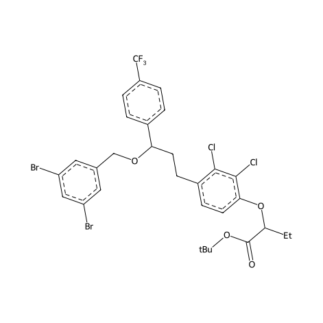 CCC(Oc1ccc(CCC(OCc2cc(Br)cc(Br)c2)c2ccc(C(F)(F)F)cc2)c(Cl)c1Cl)C(=O)OC(C)(C)C